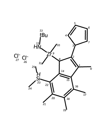 CC1=C(C2C=CC=C2)[CH]([Zr]([CH3])([CH3])[NH]C(C)(C)C)c2c1c(C)c(C)c(C)c2[SiH](C)C.[Cl-].[Cl-]